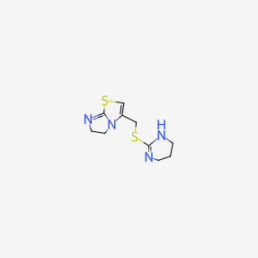 C1=C(CSC2=NCCCN2)N2CCN=C2S1